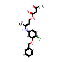 CC(=O)CC(=O)OCC=C(C)Nc1ccc(Br)c(OCc2ccccc2)c1